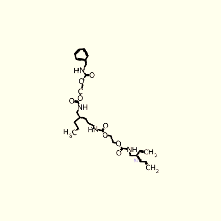 C=C/C=C(\C=C)CNC(=O)OCCOC(=O)NCCCC(CCC)CNC(=O)OCCOC(=O)NCc1ccccc1